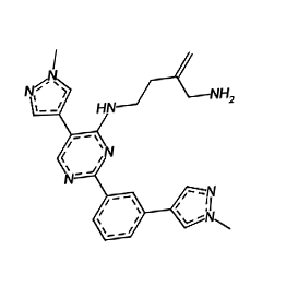 C=C(CN)CCNc1nc(-c2cccc(-c3cnn(C)c3)c2)ncc1-c1cnn(C)c1